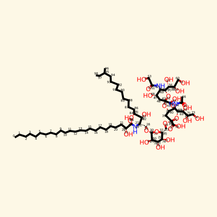 CCCCCCCCCCCCCCCCCCCCCC[C@@H](O)C(=O)N[C@@H](CO[C@@H]1O[C@H](CO[C@]2(C(=O)O)C[C@H](O[C@]3(C(=O)O)C[C@H](O)[C@@H](NC(=O)CO)[C@H]([C@H](O)[C@H](O)CO)O3)[C@@H](NC(C)=O)[C@H]([C@H](O)[C@H](O)CO)O2)[C@@H](O)[C@H](O)[C@H]1O)[C@H](O)[C@H](O)CCCCCCCCCC(C)CC